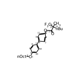 CCCCCCCCOc1ccc(-c2ccc(OC(=O)C(C)(CCCC)C(F)(F)F)cc2)cc1